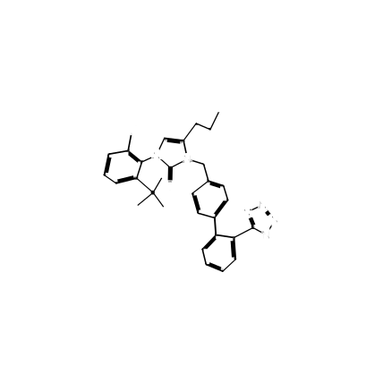 CCCc1cn(-c2c(Cl)cccc2C(C)(C)C)c(=O)n1Cc1ccc(-c2ccccc2-c2nnn[nH]2)cc1